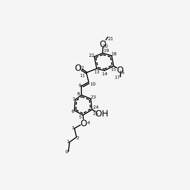 CCCCOc1ccc(C=CC(=O)c2cc(OC)cc(OC)c2)cc1O